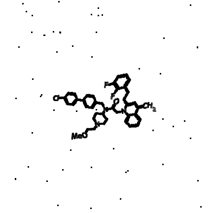 C=C1C=C(CCc2cccc(F)c2F)N(CC(=O)N(Cc2ccc(-c3ccc(Cl)cc3)cc2)C2CCN(CCOC)CC2)c2ccccc21